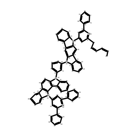 C/C=C\C=C/Cc1cc(-n2c3ccccc3c3cc4c(cc32)c2ccccc2n4-c2cccc(-n3c4ccccc4c4c3ccc3c5ccccc5n(-c5cc(-c6ccccc6)nc(-c6ccccc6)c5)c34)c2)cc(-c2ccccc2)n1